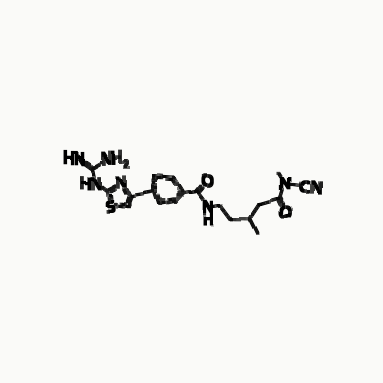 CC(CCNC(=O)c1ccc(-c2csc(NC(=N)N)n2)cc1)CC(=O)N(C)C#N